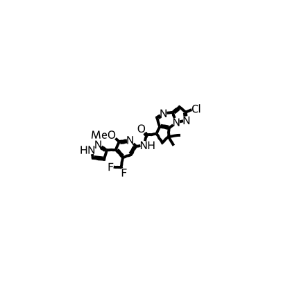 COc1nc(NC(=O)C2CC(C)(C)c3c2cnc2cc(Cl)nn32)cc(C(F)F)c1-c1cc[nH]n1